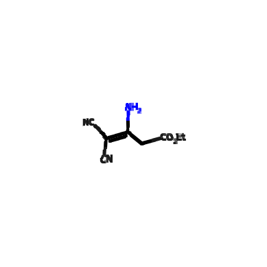 CCOC(=O)CC(N)=C(C#N)C#N